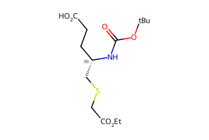 CCOC(=O)CSC[C@H](CCC(=O)O)NC(=O)OC(C)(C)C